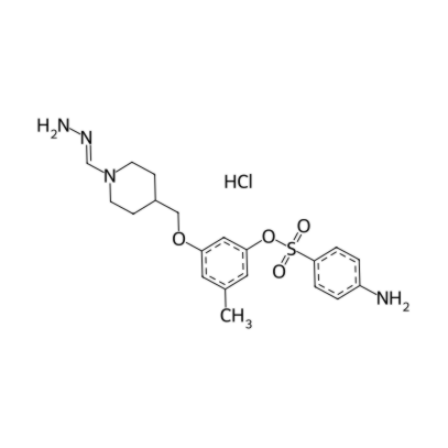 Cc1cc(OCC2CCN(C=NN)CC2)cc(OS(=O)(=O)c2ccc(N)cc2)c1.Cl